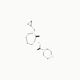 O=C(N[C@H]1CCCCN(CC2CC2)C1=O)N1CCNCC1